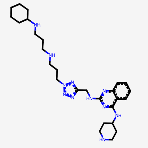 c1ccc2c(NC3CCNCC3)nc(NCc3nnn(CCCNCCCNC4CCCCC4)n3)nc2c1